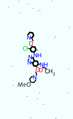 C=CC(=O)Nc1cc2c(Nc3ccc(OCc4ccccn4)c(Cl)c3)ncnc2cc1OCCN1CCC(OC)CC1